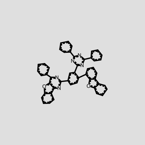 c1ccc(-c2nc(-c3ccccc3)nc(-c3cc(-c4nc(-c5ccccc5)c5oc6ccccc6c5n4)ccc3-c3cccc4c3oc3ccccc34)n2)cc1